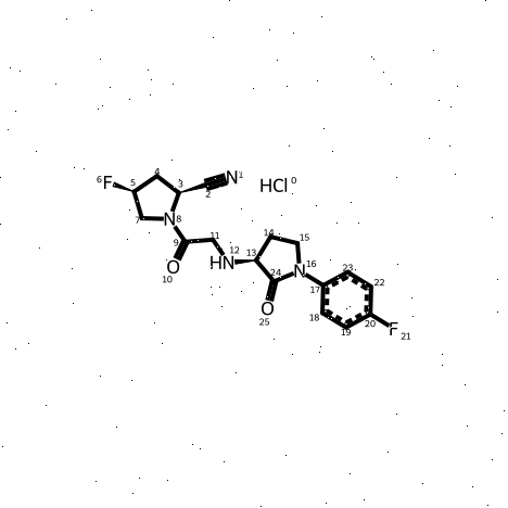 Cl.N#C[C@@H]1C[C@H](F)CN1C(=O)CN[C@H]1CCN(c2ccc(F)cc2)C1=O